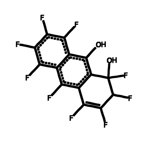 Oc1c2c(c(F)c3c(F)c(F)c(F)c(F)c13)C(F)=C(F)C(F)C2(O)F